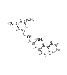 Cc1cc(C)cc(COCC(N)Cc2ccc3ccccc3c2)c1